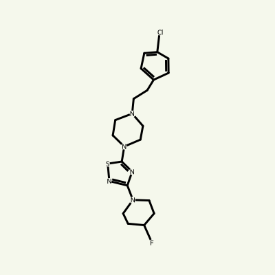 FC1CCN(c2nsc(N3CCN(CCc4ccc(Cl)cc4)CC3)n2)CC1